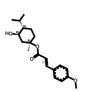 COc1ccc(/C=C/C(=O)O[C@]2(C)CC[C@@H](C(C)C)[C@H](O)C2)cc1